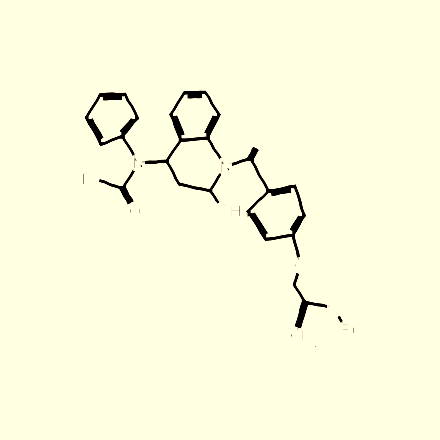 C=C(COc1ccc(C(=O)N2c3ccccc3C(N(C(=O)CC)c3ccccc3)CC2C)cc1)OCC